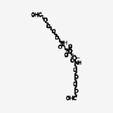 C[C@@H](CSC1CC(=O)N(CCC(=O)NCCOCCOCCOCCOCCC=O)C1=O)C(=O)NCCOCCOCCOCCOCCC=O